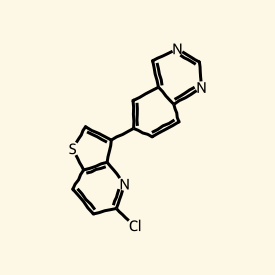 Clc1ccc2scc(-c3ccc4ncncc4c3)c2n1